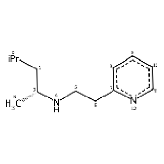 CC(C)C[C@@H](C)NCCc1ccccn1